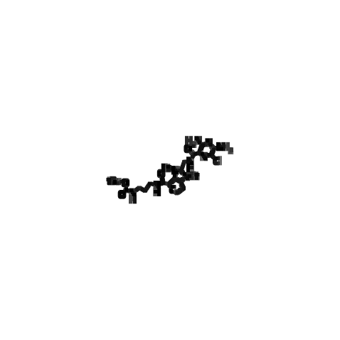 CCn1c(CNC(=O)c2nc(Cl)c(N)nc2N)[n+](CC)c2c(C(=O)NCCCNC(=O)OC(C)(C)C)cccc21